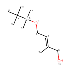 C/C(=C\CO[Si](C)(C)C(C)(C)C)CO